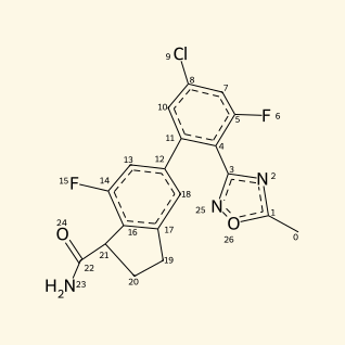 Cc1nc(-c2c(F)cc(Cl)cc2-c2cc(F)c3c(c2)CCC3C(N)=O)no1